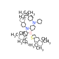 CC1(C)CCC(C)(C)c2cc3c(cc21)B(c1cc2cc4c(cc2s1)C(C)(C)CCC4(C)C)c1ccc(N(c2c#cc([Si](C)(C)C)cc2)c2ccccc2)cc1N3c1ccc2c(c1)CCCC2